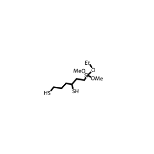 CCO[Si](CCC(S)CCCS)(OC)OC